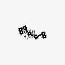 Nc1cc(C(=O)Nc2cccc(-c3cccc4ccccc34)c2)ccc1C(=O)Nc1cccc(C#Cc2cccc3ccccc23)c1